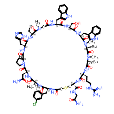 CCCC[C@H]1C(=O)N(C)[C@@H](CCCC)C(=O)N[C@@H](CCCNC(=N)N)C(=O)N[C@H](C(=O)NCC(N)=O)CSCC(=O)N[C@@H](Cc2cccc(Cl)c2)C(=O)N(C)[C@@H](C)C(=O)N[C@@H](CC(N)=O)C(=O)N2CCC[C@H]2C(=O)N[C@@H](Cc2cnc[nH]2)C(=O)N[C@@H](CC(C)C)C(=O)N(C)CC(=O)N[C@@H](Cc2c[nH]c3ccccc23)C(=O)N[C@@H](CO)C(=O)N[C@@H](Cc2c[nH]c3ccccc23)C(=O)N1C